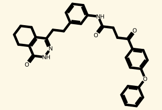 O=C(CCC(=O)c1ccc(Oc2ccccc2)cc1)Nc1cccc(CCc2n[nH]c(=O)c3c2CCCC3)c1